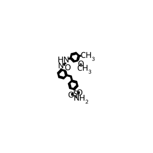 COc1cc(Nc2nc3cccc(Cc4ccc(S(N)(=O)=O)cc4)c3o2)ccc1C